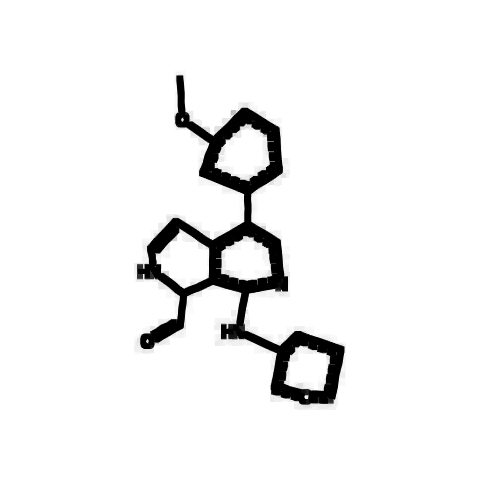 COc1cccc(-c2cnc(Nc3ccccc3)c3c2C=CNC3C=O)c1